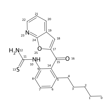 CCCCCc1cccc(NC(N)=S)c1C(=O)c1cc2cccnc2o1